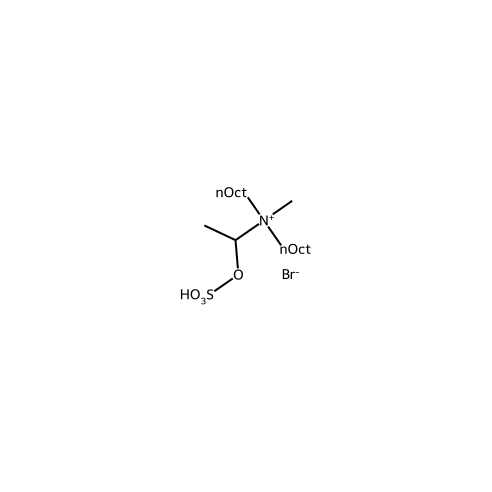 CCCCCCCC[N+](C)(CCCCCCCC)C(C)OS(=O)(=O)O.[Br-]